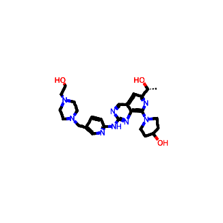 C[C@@H](O)c1cc2cnc(Nc3ccc(CN4CCN(CCO)CC4)cn3)nc2c(N2CCC(O)CC2)n1